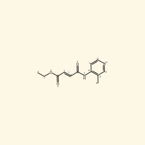 CCOC(=O)/C=C/C(=O)Nc1ccncc1C